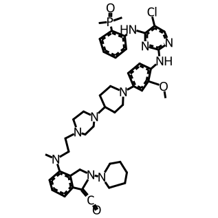 COc1cc(N2CCC(N3CCN(CCN(C)c4cccc5c4CN(N4CCCCC4)C5=C=O)CC3)CC2)ccc1Nc1ncc(Cl)c(Nc2ccccc2P(C)(C)=O)n1